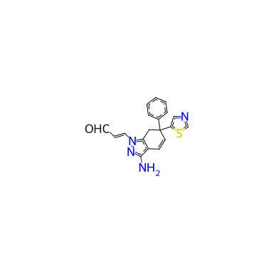 Nc1nn(C=CC=O)c2c1C=CC(c1ccccc1)(c1cncs1)C2